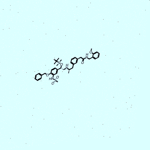 COc1ccccc1CNC(=O)Cc1cccc(C[C@@H](C)NC[C@@H](O[Si](C)(C)C(C)(C)C)c2ccc(OCc3ccccc3)c(NS(C)(=O)=O)c2)c1